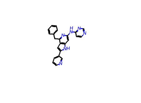 c1ccc(Cc2nc(Nc3ccncn3)cc3[nH]c(-c4cccnc4)cc23)cc1